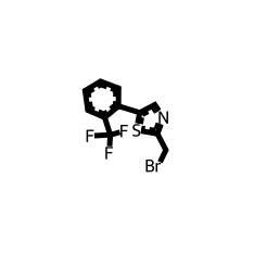 FC(F)(F)c1ccccc1-c1cnc(CBr)s1